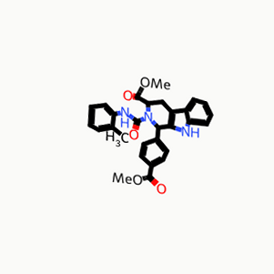 COC(=O)c1ccc(C2c3[nH]c4ccccc4c3CC(C(=O)OC)N2C(=O)Nc2ccccc2C)cc1